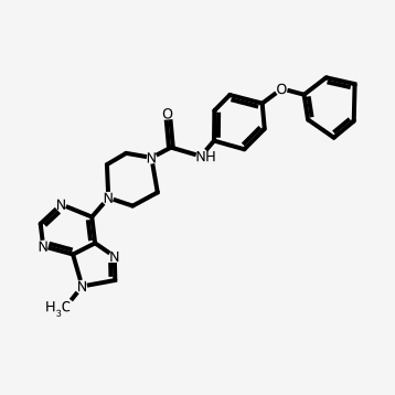 Cn1cnc2c(N3CCN(C(=O)Nc4ccc(Oc5ccccc5)cc4)CC3)ncnc21